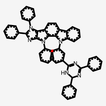 c1ccc(C2=NC(c3ccccc3)NC(c3cccc(-n4c5ccccc5c5ccc6c7c(nc(-c8ccccc8)n7-c7ccccc7)n(-c7ccccc7)c6c54)c3)=N2)cc1